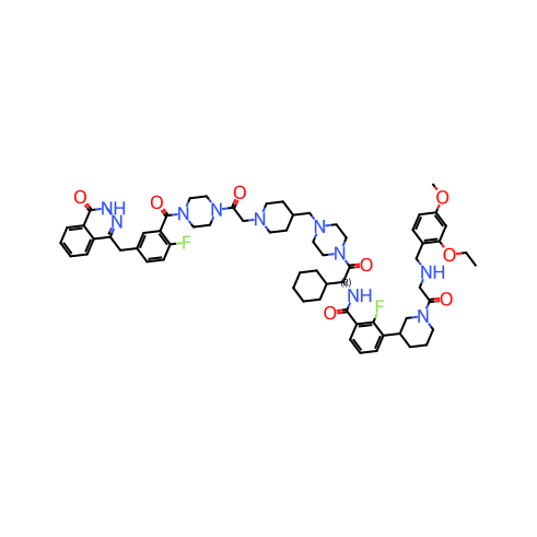 CCOc1cc(OC)ccc1CNCC(=O)N1CCCC(c2cccc(C(=O)N[C@@H](C(=O)N3CCN(CC4CCN(CC(=O)N5CCN(C(=O)c6cc(Cc7n[nH]c(=O)c8ccccc78)ccc6F)CC5)CC4)CC3)C3CCCCC3)c2F)C1